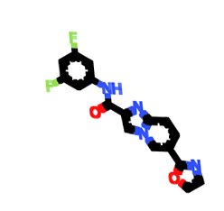 O=C(Nc1cc(F)cc(F)c1)c1cn2cc(-c3ncco3)ccc2n1